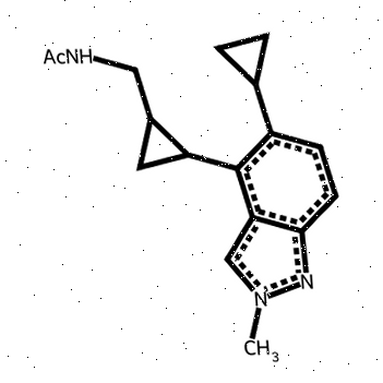 CC(=O)NCC1CC1c1c(C2CC2)ccc2nn(C)cc12